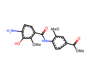 COC(=O)c1ccc(NC(=O)c2ccc(N)c(O)c2OC)c(OC)c1